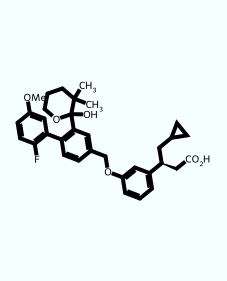 COc1ccc(F)c(-c2ccc(COc3cccc([C@H](CC(=O)O)CC4CC4)c3)cc2C2(O)OCCCC2(C)C)c1